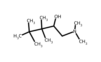 CN(C)CC(O)C(C)(C)C(C)(C)C